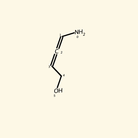 NC=C=CCO